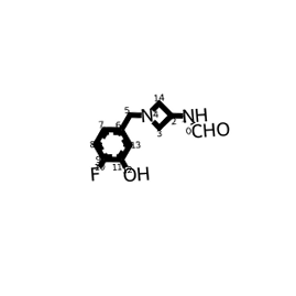 O=CNC1CN(Cc2ccc(F)c(O)c2)C1